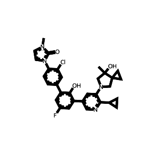 Cn1ccn(-c2ccc(-c3cc(F)cc(-c4cnc(C5CC5)c(N5CC(C)(O)C6(CC6)C5)c4)c3O)cc2Cl)c1=O